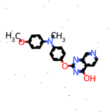 COc1ccc(N(C)c2ccc(Oc3nc(O)c4ccncc4n3)cc2)cc1